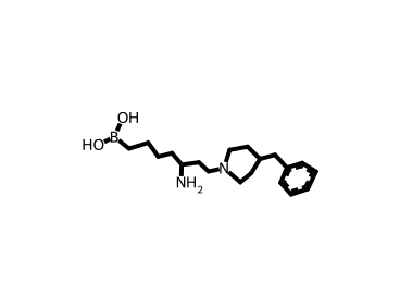 NC(CCCCB(O)O)CCN1CCC(Cc2ccccc2)CC1